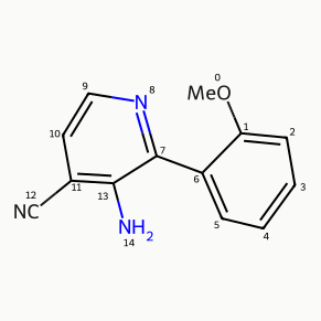 COc1ccccc1-c1nccc(C#N)c1N